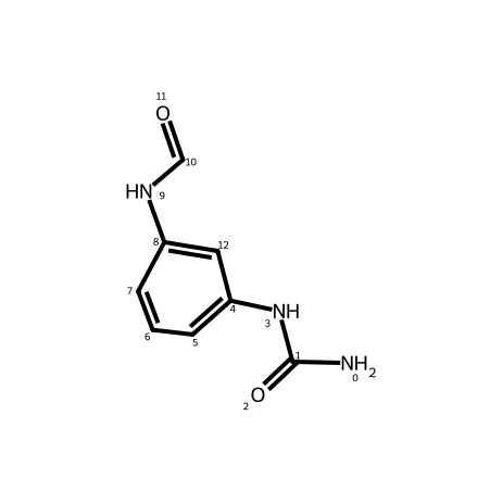 NC(=O)Nc1cccc(NC=O)c1